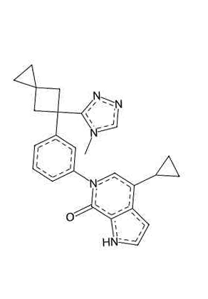 Cn1cnnc1C1(c2cccc(-n3cc(C4CC4)c4cc[nH]c4c3=O)c2)CC2(CC2)C1